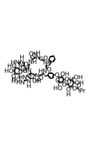 CC(C)C(=O)O[C@@H]1[C@H](O)[C@@H](O[C@H]2[C@H](O)[C@H](O)[C@@H](Oc3ccc(C[C@H]4NC(=O)[C@H](Cc5ccccc5)NC(=O)CNC(=O)[C@H](CO)NC(=O)[C@@H](C(O)C5CNC(=N)N5[C@H]5O[C@H](CO)[C@@H](O)[C@H](O)[C@@H]5O)NC(=O)[C@H](C(O)C5CNC(=N)N5)NC4=O)cc3)O[C@@H]2CO)O[C@H](CO)[C@H]1O